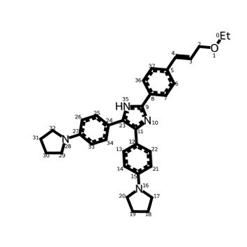 CCOC/C=C/c1ccc(-c2nc(-c3ccc(N4CCCC4)cc3)c(-c3ccc(N4CCCC4)cc3)[nH]2)cc1